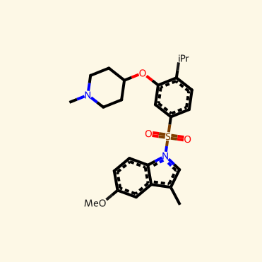 COc1ccc2c(c1)c(C)cn2S(=O)(=O)c1ccc(C(C)C)c(OC2CCN(C)CC2)c1